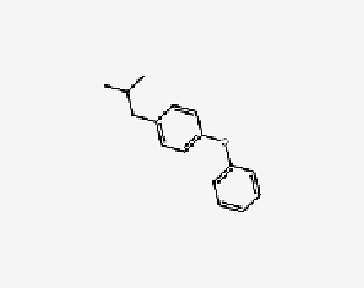 C[C](C)Cc1ccc(Oc2ccccc2)cc1